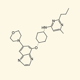 CCCc1nc(C)cc(N[C@H]2CC[C@@H](Oc3cc(N4CCOCC4)cc4nccnc34)CC2)n1